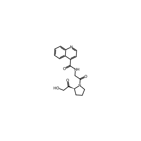 O=C(NCC(=O)N1CCC[C@H]1C(=O)CO)c1ccnc2ccccc12